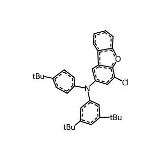 CC(C)(C)c1ccc(N(c2cc(C(C)(C)C)cc(C(C)(C)C)c2)c2cc(Cl)c3oc4ccccc4c3c2)cc1